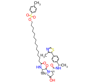 Cc1ccc(S(=O)(=O)OCCCCCCCCCCCCCCC(=O)NC(C(=O)N2C[C@H](O)C[C@H]2C(=O)NC(C)c2ccc(-c3scnc3C)cc2)C(C)(C)C)cc1